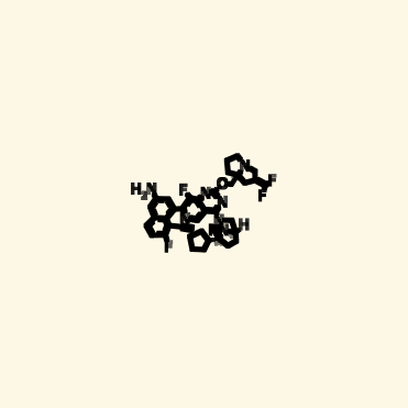 C#Cc1c(F)ccc2cc(N)cc(-c3ncc4c(N5C[C@@H]6CC[C@](C7CCCC7)(C5)N6)nc(OC[C@@]56CCCN5CC(=C(F)F)C6)nc4c3F)c12